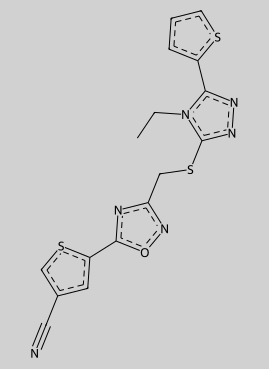 CCn1c(SCc2noc(-c3cc(C#N)cs3)n2)nnc1-c1cccs1